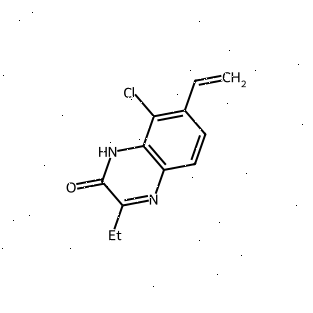 C=Cc1ccc2nc(CC)c(=O)[nH]c2c1Cl